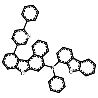 c1ccc(-c2ccc(-c3cccc4oc5cc(N(c6ccccc6)c6cccc7c6oc6ccccc67)c6ccccc6c5c34)cn2)cc1